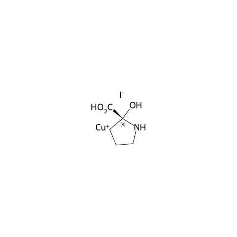 O=C(O)[C@]1(O)CCCN1.[Cu+].[I-]